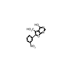 O=C(O)c1c(-c2cccc([N+](=O)[O-])c2)oc2ncnc(O)c12